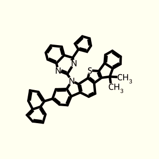 CC1(C)c2ccccc2-c2sc3c(ccc4c5ccc(-c6cccc7ccccc67)cc5n(-c5nc(-c6ccccc6)c6ccccc6n5)c43)c21